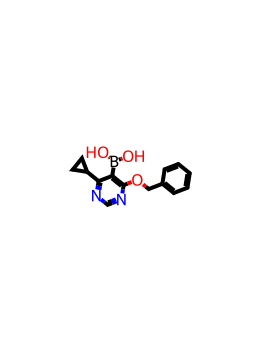 OB(O)c1c(OCc2ccccc2)ncnc1C1CC1